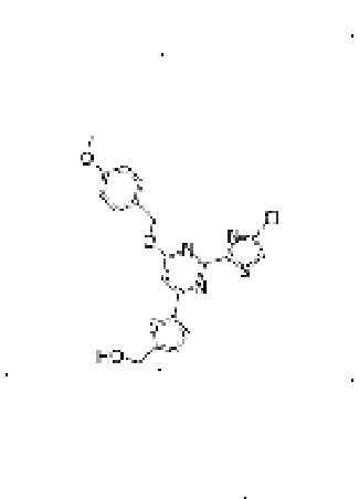 COc1ccc(COc2cc(-c3ccc(CO)s3)nc(-c3nc(Cl)cs3)n2)cc1